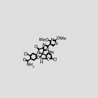 COc1ncc(-c2nc3c(n2C(C)C)C2(C(=O)Nc4cc(Cl)ccc42)N(c2ccc(C(N)=O)c(Cl)c2)C3=O)c(OC)n1